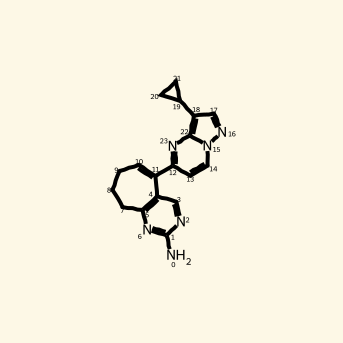 Nc1ncc2c(n1)CCCC=C2c1ccn2ncc(C3CC3)c2n1